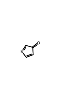 O=C1C=BC=C1